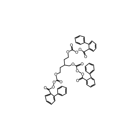 O=C(OCCC(CCOC(=O)OOC(=O)c1ccccc1-c1ccccc1)COC(=O)OOC(=O)c1ccccc1-c1ccccc1)OOC(=O)c1ccccc1-c1ccccc1